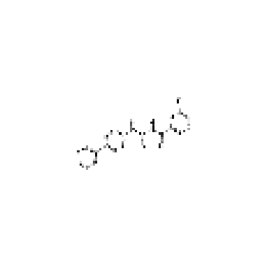 O=C(NC(=S)Nc1ccc(-c2ccccc2)cc1)c1cccc(F)c1